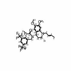 CC=CCN1c2cc(OC)c(OC)cc2[C@@H](N(Cc2cc(C(F)(F)F)cc(C(F)(F)F)c2)C(=O)OC)C[C@H]1C